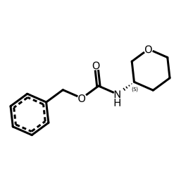 O=C(N[C@H]1CCCOC1)OCc1ccccc1